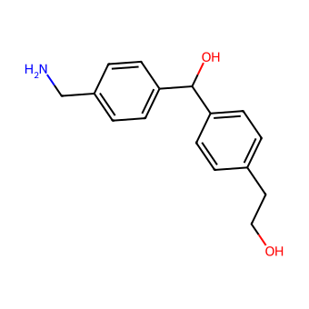 NCc1ccc(C(O)c2ccc(CCO)cc2)cc1